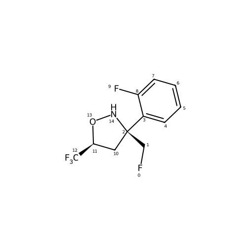 FC[C@@]1(c2ccccc2F)C[C@@H](C(F)(F)F)ON1